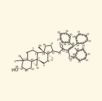 CC1(C)C2CCC3[C@]4(CC[C@]5(C)C(CC(=O)C(C#N)=P(c6ccccc6)(c6ccccc6)c6ccccc6)CC[C@@]35C)C[C@]24CC[C@@H]1O